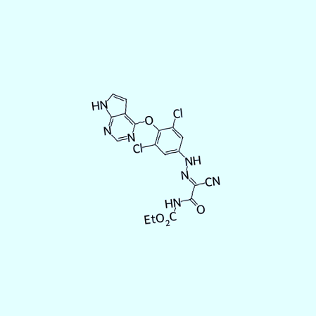 CCOC(=O)NC(=O)/C(C#N)=N/Nc1cc(Cl)c(Oc2ncnc3[nH]ccc23)c(Cl)c1